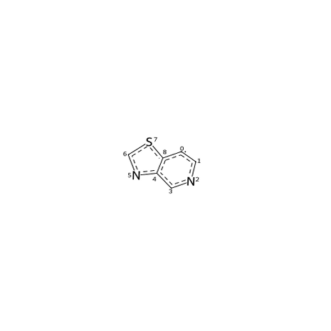 [c]1cncc2ncsc12